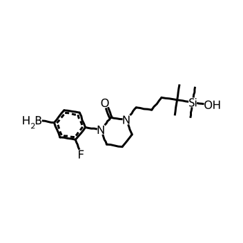 Bc1ccc(N2CCCN(CCCC(C)(C)[Si](C)(C)O)C2=O)c(F)c1